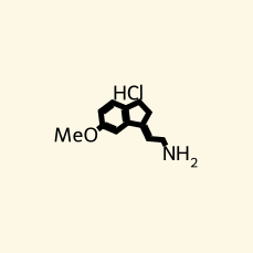 COc1ccc2c(c1)C(=CCN)CC2.Cl